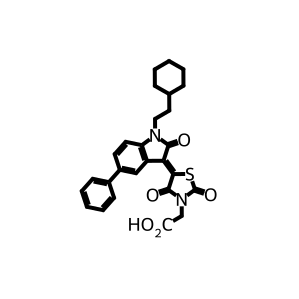 O=C(O)CN1C(=O)S/C(=C2\C(=O)N(CCC3CCCCC3)c3ccc(-c4ccccc4)cc32)C1=O